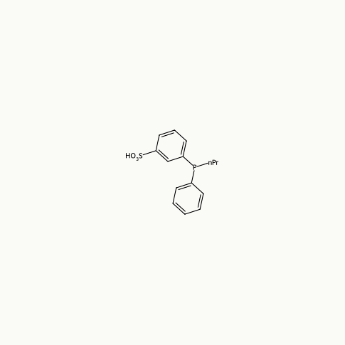 CCCP(c1ccccc1)c1cccc(S(=O)(=O)O)c1